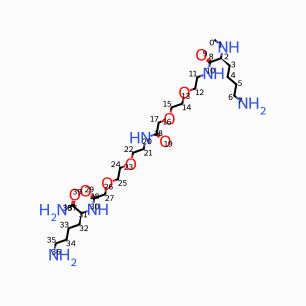 CN[C@@H](CCCCN)C(=O)NCCOCCOCC(=O)NCCOCCOCC(=O)N[C@@H](CCCCN)C(N)=O